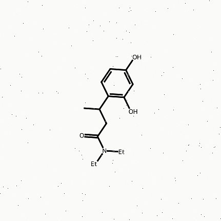 CCN(CC)C(=O)CC(C)c1ccc(O)cc1O